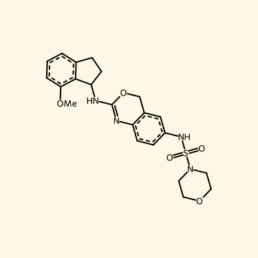 COc1cccc2c1C(NC1=Nc3ccc(NS(=O)(=O)N4CCOCC4)cc3CO1)CC2